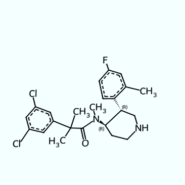 Cc1cc(F)ccc1[C@@H]1CNCC[C@H]1N(C)C(=O)C(C)(C)c1cc(Cl)cc(Cl)c1